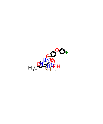 Cc1cc(C(S)C(C)(C)C(NS(=O)(=O)c2ccc(Oc3ccc(F)cc3)cc2)C(=O)NO)no1